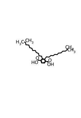 CC(C)CCCCCCCCCCc1c(C(=O)O)ccc(C(=O)O)c1CCCCCCCCCCC(C)C